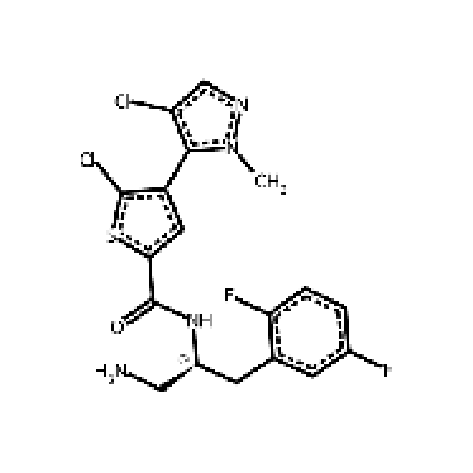 Cn1ncc(Cl)c1-c1cc(C(=O)N[C@H](CN)Cc2cc(F)ccc2F)sc1Cl